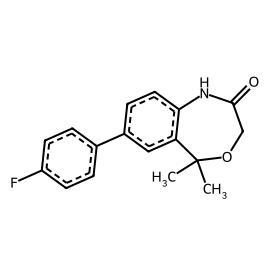 CC1(C)OCC(=O)Nc2ccc(-c3ccc(F)cc3)cc21